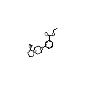 CCOC(=O)c1cccc(N2CC[N+]3(CCCC3Br)CC2)c1